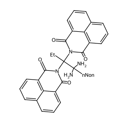 CCCCCCCCCC(N)(N)C(CC)(N1C(=O)c2cccc3cccc(c23)C1=O)N1C(=O)c2cccc3cccc(c23)C1=O